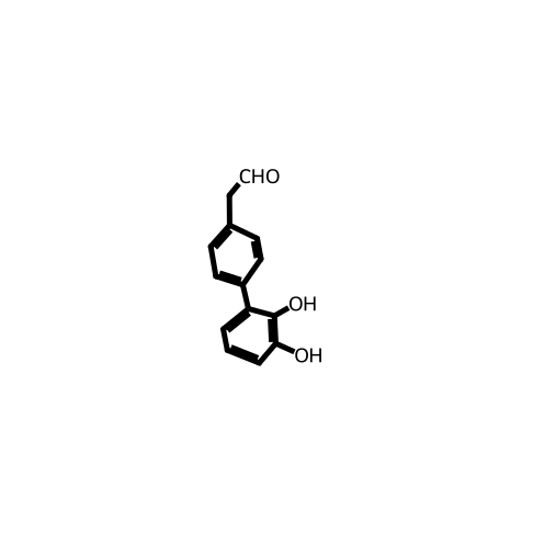 O=CCc1ccc(-c2cccc(O)c2O)cc1